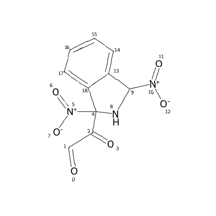 O=CC(=O)C1([N+](=O)[O-])NC([N+](=O)[O-])c2ccccc21